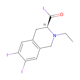 CCN1Cc2cc(I)c(I)cc2C[C@H]1C(=O)I